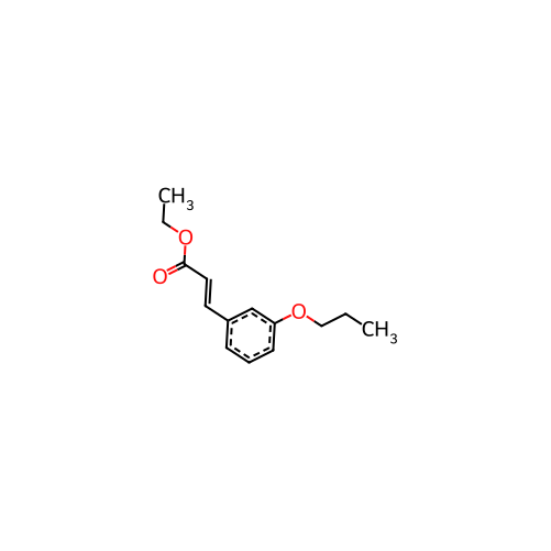 CCCOc1cccc(C=CC(=O)OCC)c1